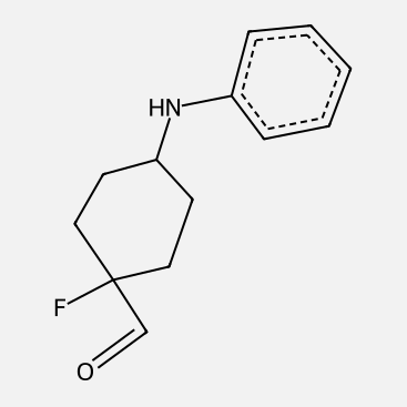 O=CC1(F)CCC(Nc2ccccc2)CC1